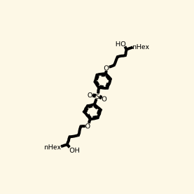 CCCCCCC(O)CCCOc1ccc(S(=O)(=O)c2ccc(OCCCC(O)CCCCCC)cc2)cc1